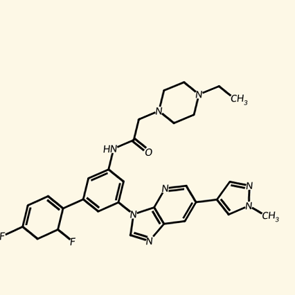 CCN1CCN(CC(=O)Nc2cc(C3=CC=C(F)CC3F)cc(-n3cnc4cc(-c5cnn(C)c5)cnc43)c2)CC1